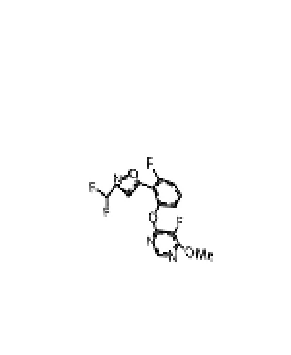 COc1ncnc(Oc2cccc(F)c2-c2cc(C(F)F)no2)c1F